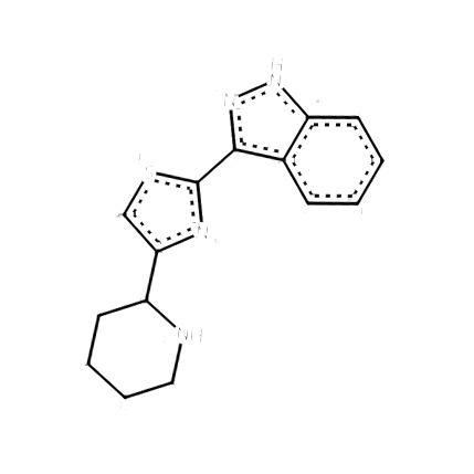 c1ccc2c(-c3nc(C4CCCCN4)cs3)n[nH]c2c1